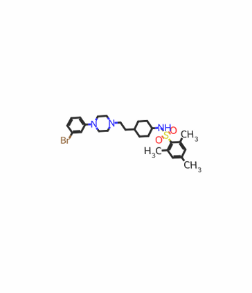 Cc1cc(C)c(S(=O)(=O)NC2CCC(CCN3CCN(c4cccc(Br)c4)CC3)CC2)c(C)c1